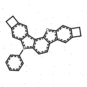 c1ccc(-n2c3cc4c(cc3c3c5oc6cc7c(cc6c5ccc32)CC7)CC4)cc1